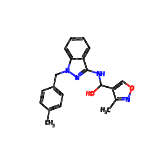 Cc1ccc(Cn2nc(NC(O)c3conc3C)c3ccccc32)cc1